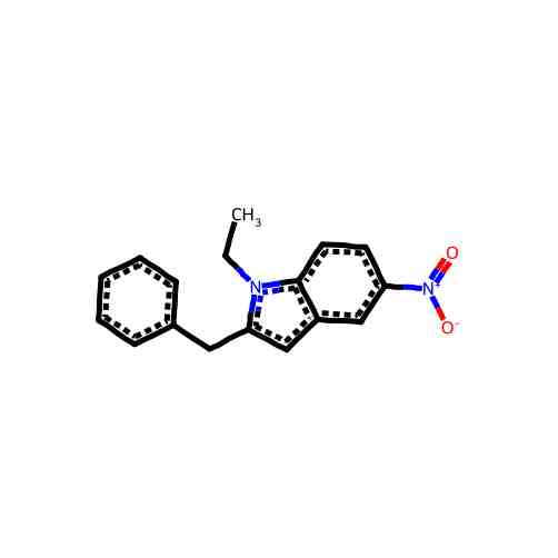 CCn1c(Cc2ccccc2)cc2cc([N+](=O)[O-])ccc21